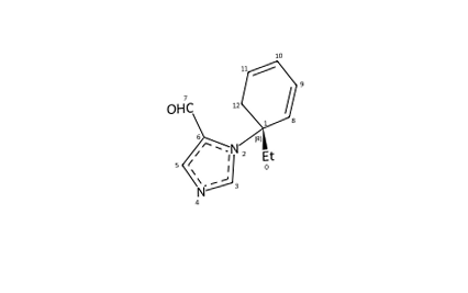 CC[C@]1(n2cncc2C=O)C=CC=CC1